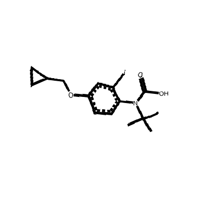 CC(C)(C)N(C(=O)O)c1ccc(OCC2CC2)cc1I